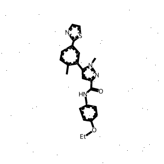 CCOc1ccc(NC(=O)c2cc(-c3cc(-c4nccs4)ccc3C)n(C)n2)cc1